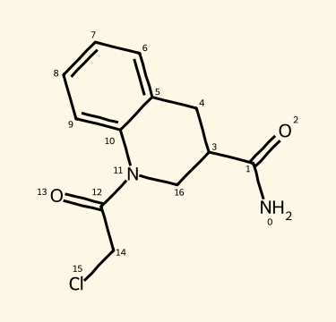 NC(=O)C1Cc2ccccc2N(C(=O)CCl)C1